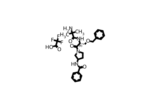 CC(C)(N)C(=O)N[C@H](COCc1ccccc1)C(=O)N1CCC(NC(=O)c2ccccc2)C1.O=C(O)C(F)(F)F